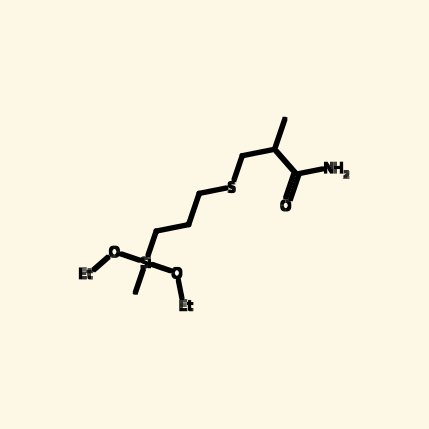 CCO[Si](C)(CCCSCC(C)C(N)=O)OCC